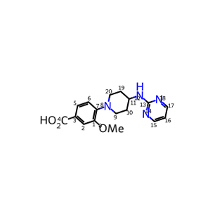 COc1cc(C(=O)O)ccc1N1CCC(Nc2ncccn2)CC1